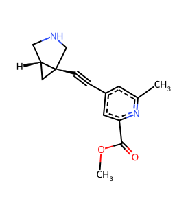 COC(=O)c1cc(C#C[C@]23CNC[C@H]2C3)cc(C)n1